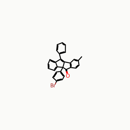 Cc1ccc2c(c1)C1=C(c3ccccc3)c3ccccc3C1(c1ccc(Br)cc1)C2=O